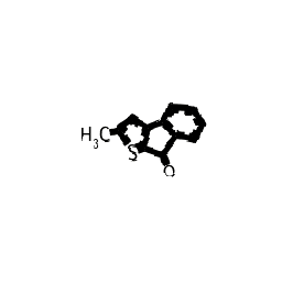 Cc1cc2c(s1)C(=O)c1ccccc1-2